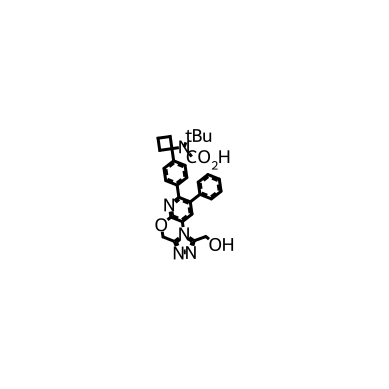 CC(C)(C)N(C(=O)O)C1(c2ccc(-c3nc4c(cc3-c3ccccc3)-n3c(CO)nnc3CO4)cc2)CCC1